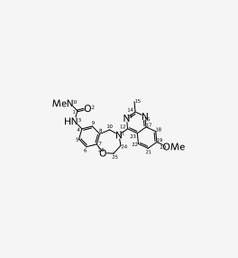 CNC(=O)Nc1ccc2c(c1)CN(c1nc(C)nc3cc(OC)ccc13)CCO2